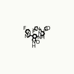 C[C@]1(F)CCN(Cc2nc(Nc3ccc(-c4cnc5cc(F)ccn45)c4c3C(=O)NC4)ccc2[C@@H]2CCOC2)C1